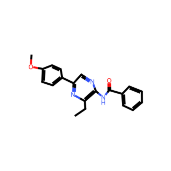 CCc1nc(-c2ccc(OC)cc2)cnc1NC(=O)c1ccccc1